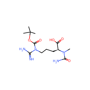 CN(C(N)=O)[C@@H](CCCN(C(=N)N)C(=O)OC(C)(C)C)C(=O)O